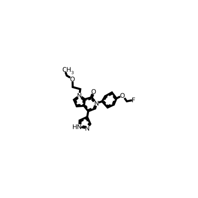 CCOCCn1ccc2c(-c3cn[nH]c3)cn(-c3ccc(OCF)cc3)c(=O)c21